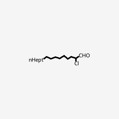 CCCCCCCCCCCCCCC(Cl)C=O